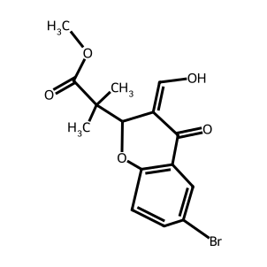 COC(=O)C(C)(C)C1Oc2ccc(Br)cc2C(=O)C1=CO